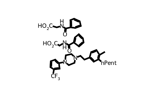 CCCCCc1cc(CCN2CCN(c3cccc(C(F)(F)F)c3)CC2)ccc1C.O=C(O)CNC(=O)c1ccccc1.O=C(O)CNC(=O)c1ccccc1